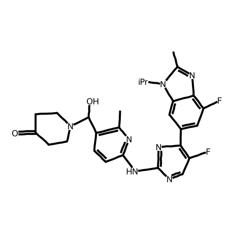 Cc1nc(Nc2ncc(F)c(-c3cc(F)c4nc(C)n(C(C)C)c4c3)n2)ccc1C(O)N1CCC(=O)CC1